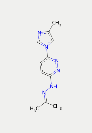 CC(C)=NNc1ccc(-n2cnc(C)c2)nn1